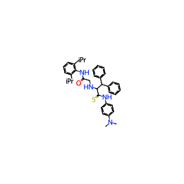 CC(C)c1cccc(C(C)C)c1NC(=O)CNC(C(=S)Nc1ccc(N(C)C)cc1)C(c1ccccc1)c1ccccc1